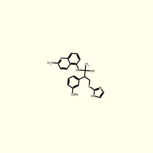 COc1cccc(C(CSc2ncc[nH]2)C(O)(Nc2cccc3nc(C)ccc23)C(F)(F)F)c1